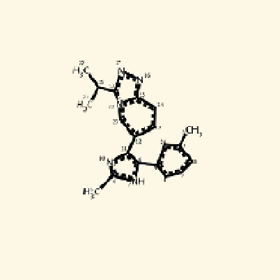 Cc1cccc(-c2[nH]c(C)nc2-c2ccc3nnc(C(C)C)n3c2)c1